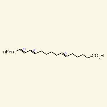 CCCCC/C=C/C=C/CCCC/C=C/CCCCC(=O)O